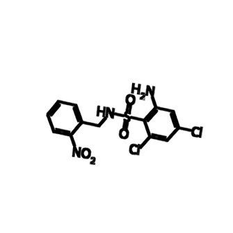 Nc1cc(Cl)cc(Cl)c1S(=O)(=O)NCc1ccccc1[N+](=O)[O-]